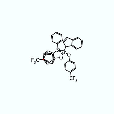 FC(F)(F)c1ccc([O][Zr]([O]c2ccc(C(F)(F)F)cc2)([CH]2C=Cc3ccccc32)=[Si](c2ccccc2)c2ccccc2)cc1